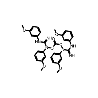 COc1cccc(NC(=N)N(OC(=O)ON(C(=N)Nc2cccc(OC)c2)c2cccc(OC)c2)c2cccc(OC)c2)c1